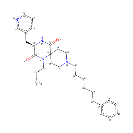 CCCN1C(=O)[C@@H](Cc2cccnc2)NC(=O)C12CCN(CCCCCCc1ccccc1)CC2